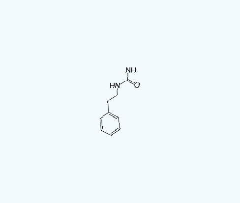 [NH]C(=O)NCCc1ccccc1